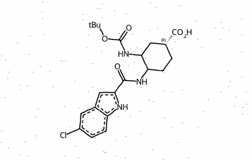 CC(C)(C)OC(=O)NC1C[C@H](C(=O)O)CCC1NC(=O)c1cc2cc(Cl)ccc2[nH]1